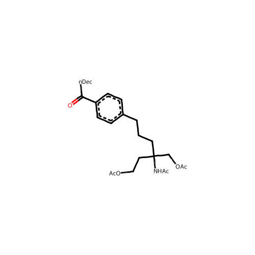 CCCCCCCCCCC(=O)c1ccc(CCCC(CCOC(C)=O)(COC(C)=O)NC(C)=O)cc1